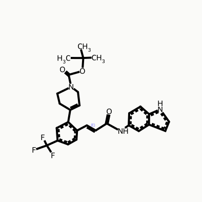 CC(C)(C)OC(=O)N1CC=C(c2cc(C(F)(F)F)ccc2/C=C/C(=O)Nc2ccc3[nH]ccc3c2)CC1